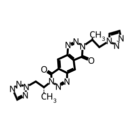 C[C@H](Cn1ccnn1)n1nnc2cc3c(=O)n([C@H](C)Cn4ncnn4)nnc3cc2c1=O